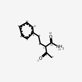 CC(=O)C(CCc1ccccc1)C(N)=O